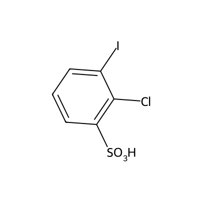 O=S(=O)(O)c1cccc(I)c1Cl